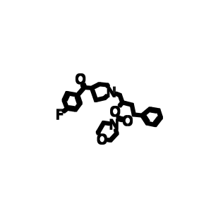 O=C(c1ccc(F)cc1)C1CCN(CC(CCc2ccccc2)OC(=O)N2CCOCC2)CC1